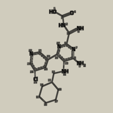 N=C(NC(=O)O)c1nc(N)c(NCC2CCCCC2)c(-c2cncc(Cl)c2)n1